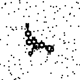 COCCNc1c(-c2ccc(N3C[C@@H](C)O[C@@H](C)C3)cc2)cnc2c(-c3ccc(C#N)cc3)cccc12